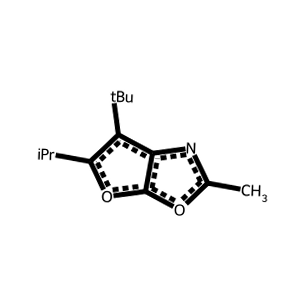 Cc1nc2c(C(C)(C)C)c(C(C)C)oc2o1